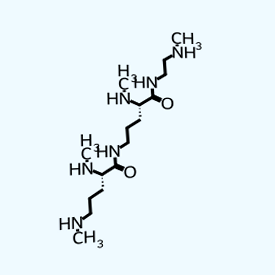 CNCCC[C@H](NC)C(=O)NCCC[C@H](NC)C(=O)NCCNC